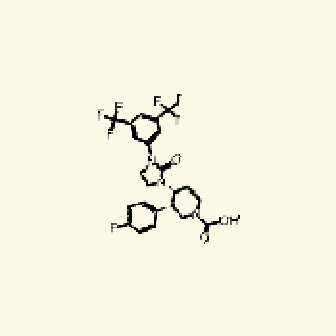 O=C(O)N1CC[C@@H](N2CCN(c3cc(C(F)(F)F)cc(C(F)(F)F)c3)C2=O)[C@H](c2ccc(F)cc2)C1